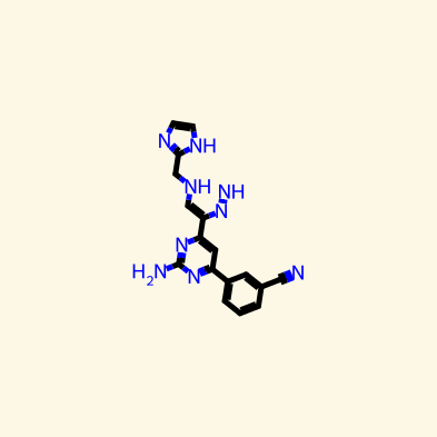 N#Cc1cccc(-c2cc(/C(=C/NCc3ncc[nH]3)N=N)nc(N)n2)c1